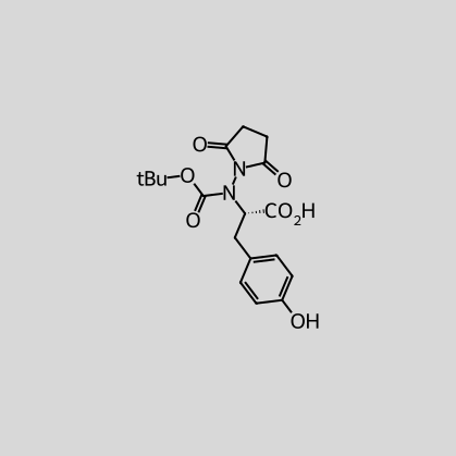 CC(C)(C)OC(=O)N([C@@H](Cc1ccc(O)cc1)C(=O)O)N1C(=O)CCC1=O